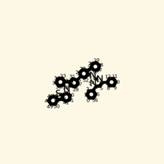 c1ccc(-c2cc(-c3ccccc3)nc(-n3c4ccccc4c4ccc(-c5ccc6c(c5)c5ccccc5n6-c5cccc6c5sc5ccccc56)cc43)n2)cc1